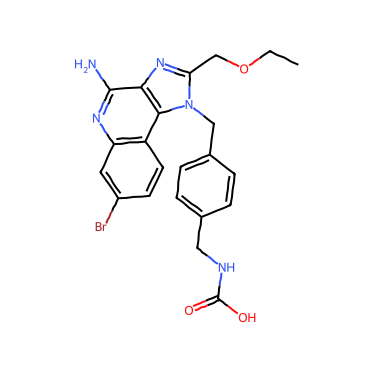 CCOCc1nc2c(N)nc3cc(Br)ccc3c2n1Cc1ccc(CNC(=O)O)cc1